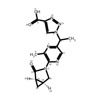 Cc1nc(C(C)n2cc(C(=O)O)nn2)cnc1N1C[C@H]2C[C@H]2C1=O